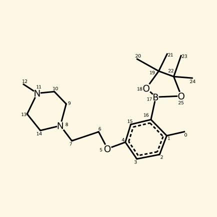 Cc1ccc(OCCN2CCN(C)CC2)cc1B1OC(C)(C)C(C)(C)O1